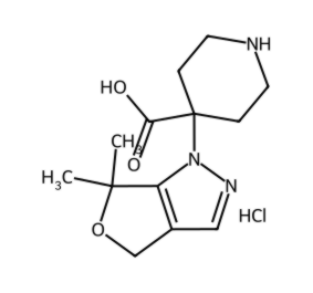 CC1(C)OCc2cnn(C3(C(=O)O)CCNCC3)c21.Cl